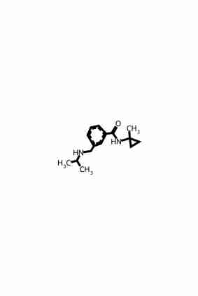 CC(C)NCc1cccc(C(=O)NC2(C)CC2)c1